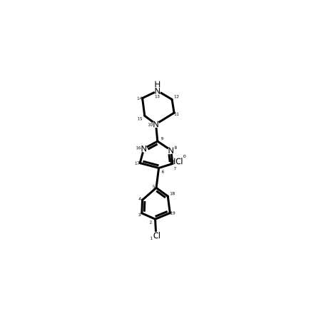 Cl.Clc1ccc(-c2cnc(N3CCNCC3)nc2)cc1